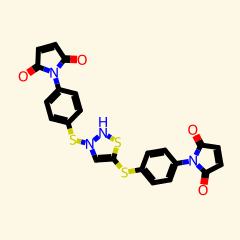 O=C1C=CC(=O)N1c1ccc(SC2=CN(Sc3ccc(N4C(=O)C=CC4=O)cc3)NS2)cc1